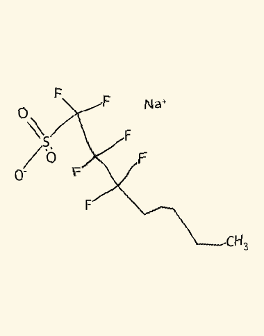 CCCCC(F)(F)C(F)(F)C(F)(F)S(=O)(=O)[O-].[Na+]